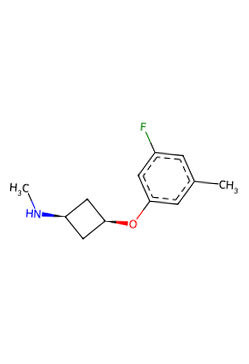 CN[C@H]1C[C@@H](Oc2cc(C)cc(F)c2)C1